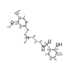 COc1ccc(CCN(C)CCCNC(=O)c2cccc(C)c2O)cc1OC